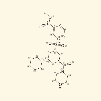 COC(=O)c1cccc(S(=O)(=O)[C@H]2C[C@@H](C3CCCCC3)CN(C(=O)N3CCOCC3)C2)c1